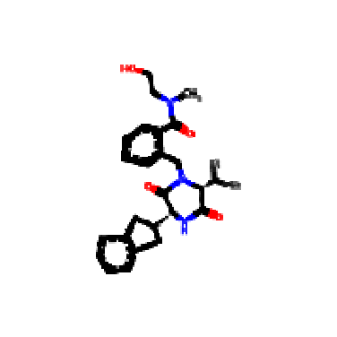 CCC(CC)[C@@H]1C(=O)N[C@H](C2Cc3ccccc3C2)C(=O)N1Cc1ccccc1C(=O)N(C)CCO